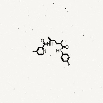 C=C(CCC(C)C(=O)Nc1ccc(F)cc1)NC(=O)c1cc(C)ccn1